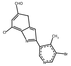 Cc1c(Br)cncc1C1=NC2=C(Cl)C=C(C=O)CC2=C1